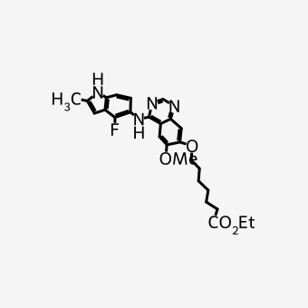 CCOC(=O)CCCCCCOc1cc2ncnc(Nc3ccc4[nH]c(C)cc4c3F)c2cc1OC